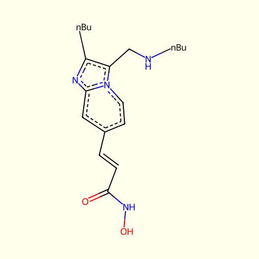 CCCCNCc1c(CCCC)nc2cc(/C=C/C(=O)NO)ccn12